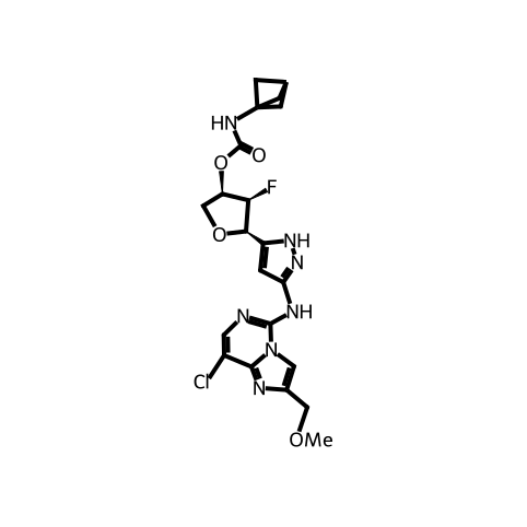 COCc1cn2c(Nc3cc([C@H]4OC[C@@H](OC(=O)NC56CC(C5)C6)[C@H]4F)[nH]n3)ncc(Cl)c2n1